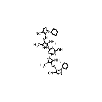 [C-]#[N+]c1cnn(-c2ccccc2)c1N=Nc1c(C)nn(-c2nc(O)nc(-n3nc(C)c(N=Nc4c(C#N)cnn4-c4ccccc4)c3N)n2)c1N